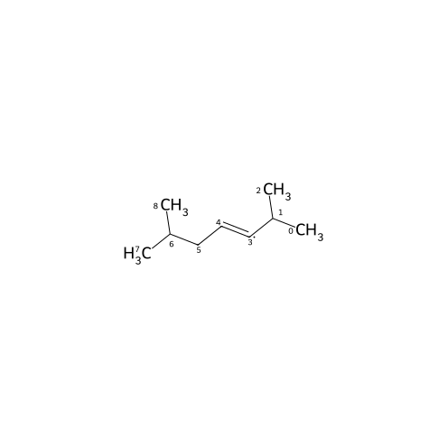 CC(C)/[C]=C/CC(C)C